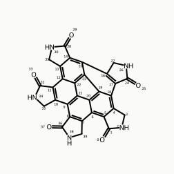 O=C1NCc2c1c1c3c(c4c5c(c6c7c(c8c9c(c2c2c1c4c6c82)C(=O)NC9)C(=O)NC7)C(=O)NC5)C(=O)NC3